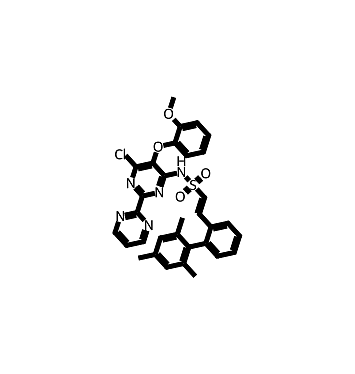 COc1ccccc1Oc1c(Cl)nc(-c2ncccn2)nc1NS(=O)(=O)C=Cc1ccccc1-c1c(C)cc(C)cc1C